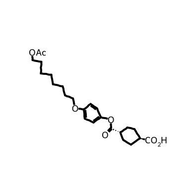 CC(=O)OCCCCCCCCOc1ccc(OC(=O)[C@H]2CC[C@H](C(=O)O)CC2)cc1